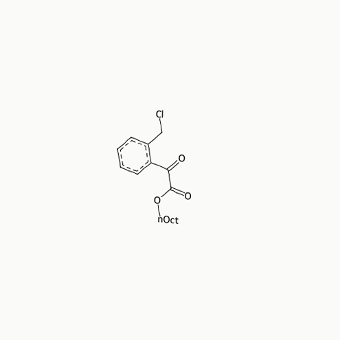 CCCCCCCCOC(=O)C(=O)c1ccccc1CCl